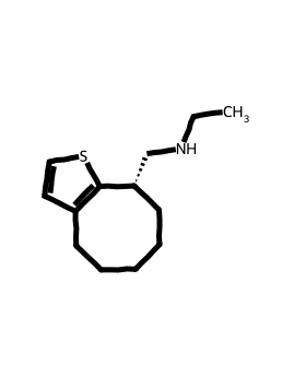 CCNC[C@@H]1CCCCCc2ccsc21